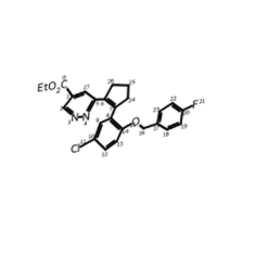 CCOC(=O)c1cnnc(C2=C(c3cc(Cl)ccc3OCc3ccc(F)cc3)CCC2)c1